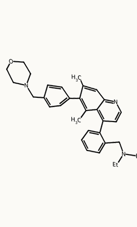 CCN(CC)Cc1ccccc1-c1ccnc2cc(C)c(-c3ccc(CN4CCOCC4)cc3)c(C)c12